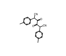 Cc1ccc(C(C#N)C(=O)C(=O)C(C#N)c2ccc(C)cc2)cc1